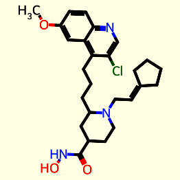 COc1ccc2ncc(Cl)c(CCCC3CC(C(=O)NO)CCN3CC=C3CCCC3)c2c1